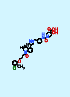 Cc1c(Cl)cccc1OCCCC(=O)N1C[C@@H]2C[C@@H]2c2c(-c3cnn(Cc4cccc(NC(=O)N5CCC(O)(C(=O)O)CC5)c4)c3)cccc21